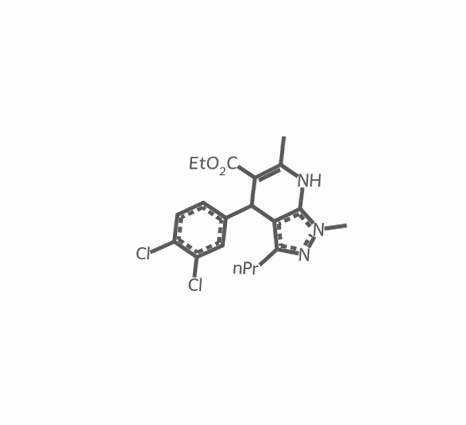 CCCc1nn(C)c2c1C(c1ccc(Cl)c(Cl)c1)C(C(=O)OCC)=C(C)N2